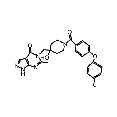 Cc1nc2[nH]ncc2c(=O)n1CC1(O)CCN(C(=O)c2ccc(Oc3ccc(Cl)cc3)cc2)CC1